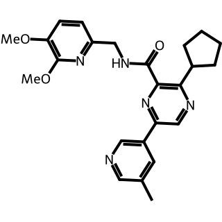 COc1ccc(CNC(=O)c2nc(-c3cncc(C)c3)cnc2C2CCCC2)nc1OC